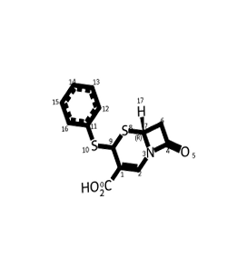 O=C(O)C1=CN2C(=O)C[C@H]2SC1Sc1ccccc1